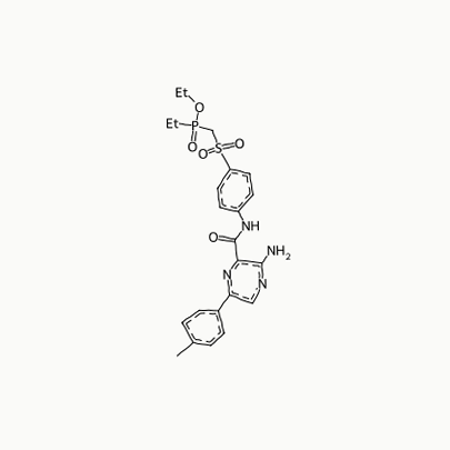 CCOP(=O)(CC)CS(=O)(=O)c1ccc(NC(=O)c2nc(-c3ccc(C)cc3)cnc2N)cc1